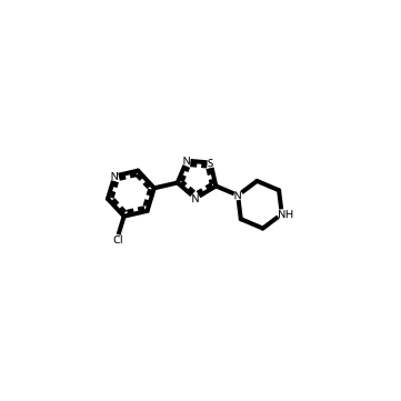 Clc1cncc(-c2nsc(N3CCNCC3)n2)c1